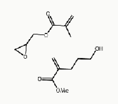 C=C(C)C(=O)OCC1CO1.C=C(CCCO)C(=O)OC